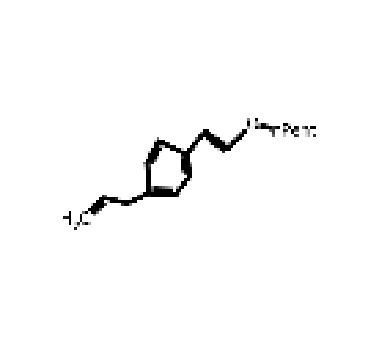 C=CCc1ccc(C=COCCCCC)cc1